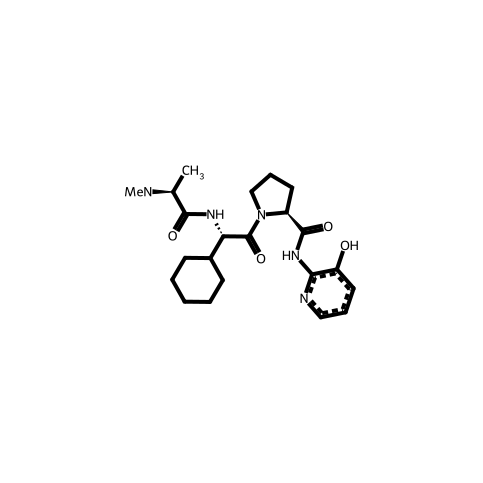 CN[C@@H](C)C(=O)N[C@H](C(=O)N1CCC[C@H]1C(=O)Nc1ncccc1O)C1CCCCC1